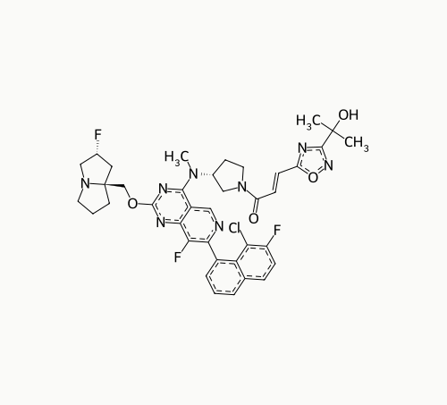 CN(c1nc(OC[C@@]23CCCN2C[C@H](F)C3)nc2c(F)c(-c3cccc4ccc(F)c(Cl)c34)ncc12)[C@@H]1CCN(C(=O)/C=C/c2nc(C(C)(C)O)no2)C1